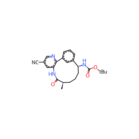 C[C@@H]1CCC[C@H](NC(=O)OC(C)(C)C)c2cccc(c2)-c2ncc(C#N)cc2NC1=O